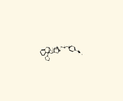 N#Cc1ccc(OCCN2CCC(CC3(C4CCCC4)NCCc4ccccc43)CC2)cc1